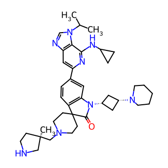 CC(C)n1cnc2cc(-c3ccc4c(c3)N([C@H]3C[C@@H](N5CCCCC5)C3)C(=O)C43CCN(C[C@]4(C)CCNC4)CC3)nc(NC3CC3)c21